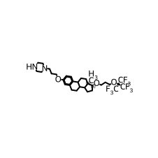 C[C@]12CCC3c4ccc(OCCCN5CCNCC5)cc4CCC3C1CC[C@@H]2OCCCOC(C(F)(F)F)(C(F)(F)F)C(F)(F)F